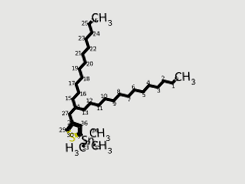 CCCCCCCCCCCCCCC(CCCCCCCCCCCC)Cc1cs[c]([Sn]([CH3])([CH3])[CH3])c1